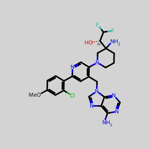 COc1ccc(-c2cc(Cn3cnc4c(N)ncnc43)c(N3CCCC(N)([C@H](O)C(F)F)C3)cn2)c(Cl)c1